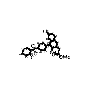 COC(=O)Cc1cc2ccc(Cl)cc2c(-c2ccc(S(=O)(=O)c3ccccc3Cl)cc2)c1C